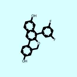 Oc1ccc2c(c1)COc1c-2cc2ccc(O)cc2c1-c1cc(F)cc(F)c1